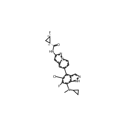 CN(c1c(F)c(Cl)c(-c2ccn3nc(NC(=O)[C@@H]4C[C@@H]4F)cc3c2)c2cn[nH]c12)C1CC1